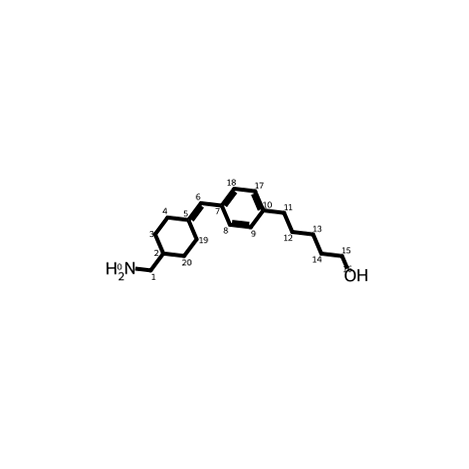 NCC1CCC(=Cc2ccc(CCCCCO)cc2)CC1